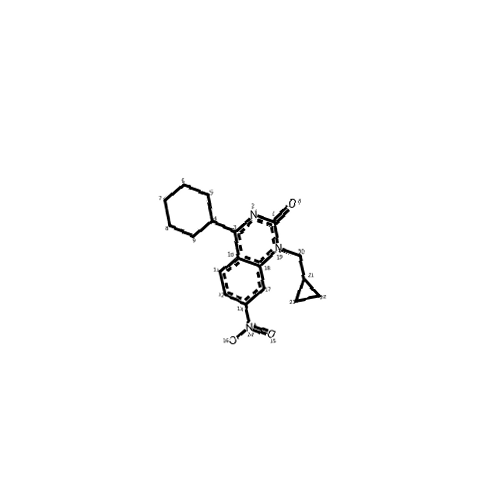 O=c1nc(C2CCCCC2)c2ccc([N+](=O)[O-])cc2n1CC1CC1